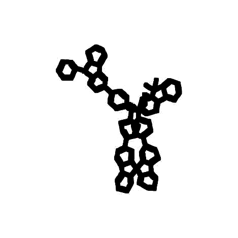 CC(C)CC(c1ccc(-c2ccc3c(c2)C2(c4ccccc4-3)c3ccccc3-c3ccc(-c4ccc(N(c5ccc(-c6ccc7c(c6)c6ccccc6n7-c6ccccc6)cc5)c5ccc6c(c5)C(C)(C)c5ccccc5-6)cc4)cc32)cc1)C(C)C